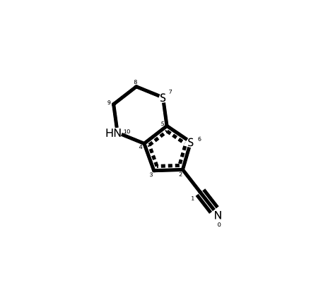 N#Cc1cc2c(s1)SCCN2